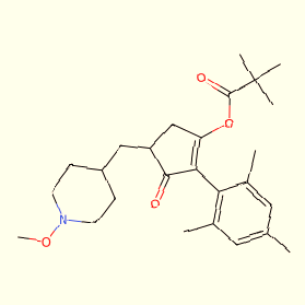 CON1CCC(CC2CC(OC(=O)C(C)(C)C)=C(c3c(C)cc(C)cc3C)C2=O)CC1